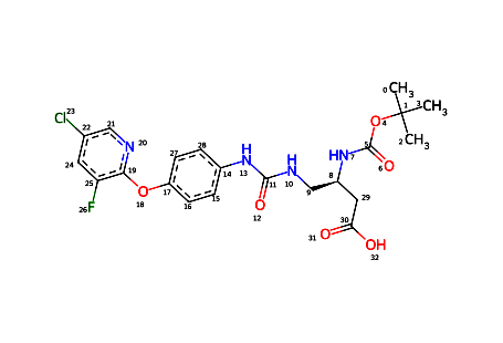 CC(C)(C)OC(=O)N[C@H](CNC(=O)Nc1ccc(Oc2ncc(Cl)cc2F)cc1)CC(=O)O